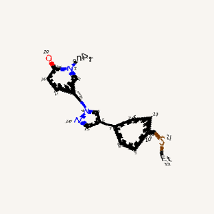 CCCn1cc(-n2cc(-c3ccc(SCC)cc3)cn2)ccc1=O